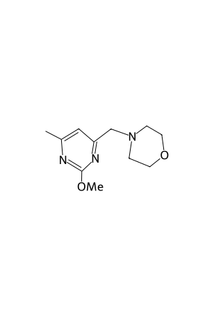 COc1nc(C)cc(CN2CCOCC2)n1